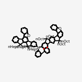 CCCCCCCCC1(CCCCCCCC)c2cc(N(c3ccc4c(c3)C(CCCCCCC)(CCCCCCC)c3c5c(c6c(oc7ccccc76)c3-4)-c3ccccc3C5(CCCCCCC)CCCCCCC)c3ccccc3-c3ccccc3)ccc2-c2cc3c(cc21)-c1c(ccc2oc4ccccc4c12)C3(CCCCCCCC)CCCCCCCC